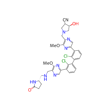 COc1nc(-c2cccc(-c3cccc(-c4cnc(CN5CC(C#N)[C@@H](O)C5)c(OC)n4)c3Cl)c2Cl)cnc1CNC[C@@H]1CCC(=O)N1